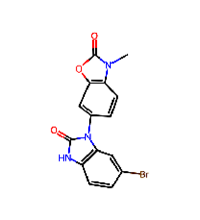 Cn1c(=O)oc2cc(-n3c(=O)[nH]c4ccc(Br)cc43)ccc21